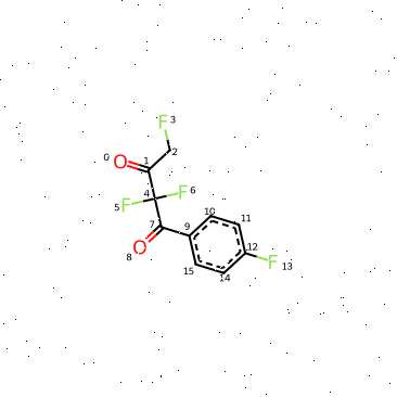 O=C(CF)C(F)(F)C(=O)c1ccc(F)cc1